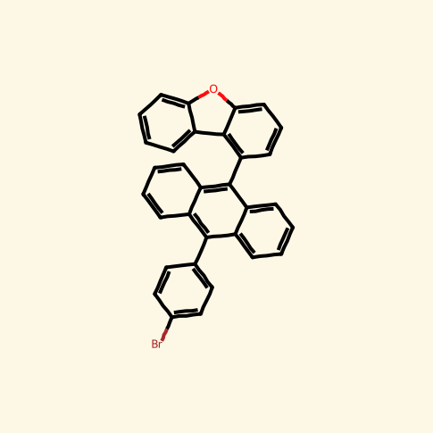 Brc1ccc(-c2c3ccccc3c(-c3cccc4oc5ccccc5c34)c3ccccc23)cc1